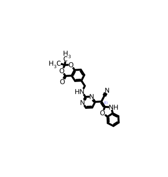 CC1(C)OC(=O)c2cc(CNc3nccc(/C(C#N)=C4/Nc5ccccc5O4)n3)ccc2O1